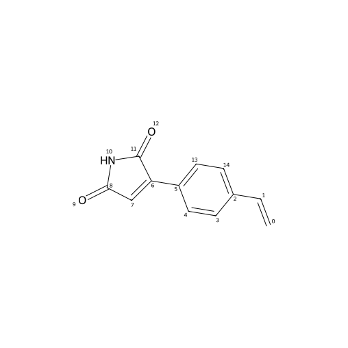 C=Cc1ccc(C2=CC(=O)NC2=O)cc1